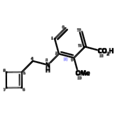 C=C/C(NCC1=CCC1)=C(/OC)C(=C)C(=O)O